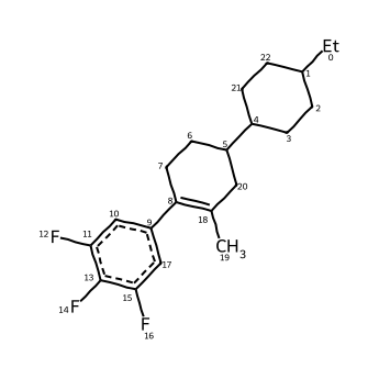 CCC1CCC(C2CCC(c3cc(F)c(F)c(F)c3)=C(C)C2)CC1